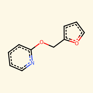 c1ccc(OCc2ccco2)nc1